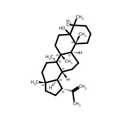 C=C(C)[C@@H]1CC[C@]2(C)CC[C@]3(C)[C@H](CC[C@@H]4[C@@]5(C)CCCC(C)(C)C5(O)CC[C@]43C)[C@@H]12